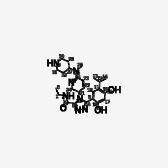 CCNC(=O)c1nnc(-c2cc(C(C)C)c(O)cc2O)n1C1C=CC(N(C)C2CCNCC2)=NC1